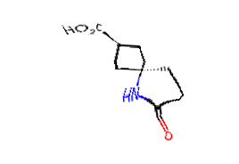 O=C1CC[C@]2(C[C@H](C(=O)O)C2)N1